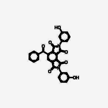 O=C(c1ccccc1)c1cc2c(=O)n(-c3cccc(O)c3)c(=O)c2c2c(=O)n(-c3cccc(O)c3)c(=O)c12